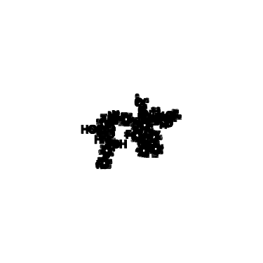 CO[C@@H](C)COc1nc(N2C[C@@H]3C[C@H]2CN3C(=O)OC(C)(C)C)c2cc(Cl)c(-c3c(C)c(F)cc4nn(C(c5ccccc5)(c5ccccc5)c5ccccc5)cc34)c(OCc3ccc(-c4cn([C@H](C(=O)N5C[C@H](O)C[C@H]5C(=O)N[C@@H](CO)c5ccc(-c6cccnc6)cc5)C(C)C)nn4)cc3)c2n1